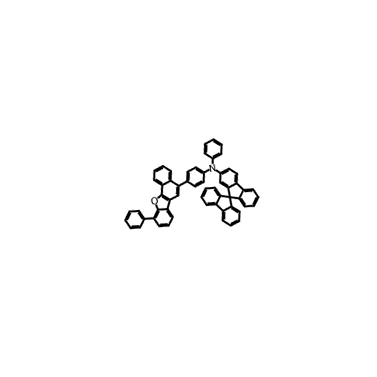 c1ccc(-c2cccc3c2oc2c4ccccc4c(-c4ccc(N(c5ccccc5)c5ccc6c(c5)C5(c7ccccc7-c7ccccc75)c5ccccc5-6)cc4)cc32)cc1